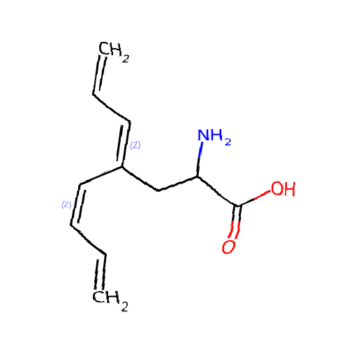 C=C/C=C\C(=C/C=C)CC(N)C(=O)O